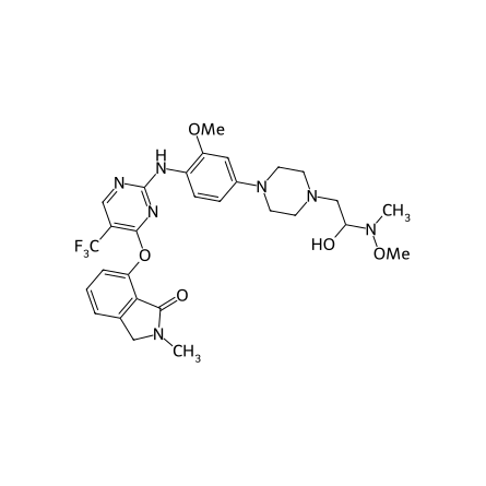 COc1cc(N2CCN(CC(O)N(C)OC)CC2)ccc1Nc1ncc(C(F)(F)F)c(Oc2cccc3c2C(=O)N(C)C3)n1